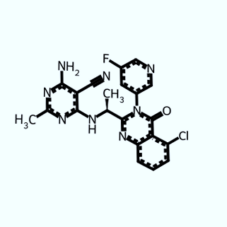 Cc1nc(N)c(C#N)c(N[C@@H](C)c2nc3cccc(Cl)c3c(=O)n2-c2cncc(F)c2)n1